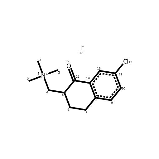 C[N+](C)(C)CC1CCc2ccc(Cl)cc2C1=O.[I-]